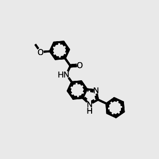 COc1cccc(C(=O)Nc2ccc3[nH]c(-c4ccccc4)nc3c2)c1